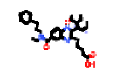 C=C/C(C(C)=O)=C(\C=C/C)c1nc2ccc(C(=O)N(CC)CCCC3=CCCC=C3)cc2nc1CCCCC(=O)O